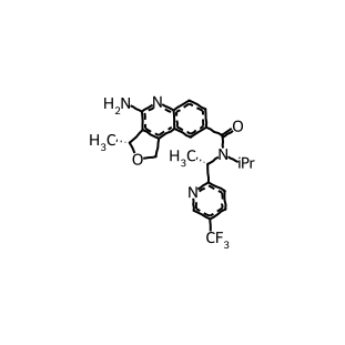 CC(C)N(C(=O)c1ccc2nc(N)c3c(c2c1)CO[C@@H]3C)[C@@H](C)c1ccc(C(F)(F)F)cn1